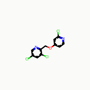 Clc1cnc(COc2ccnc(Cl)c2)c(Cl)c1